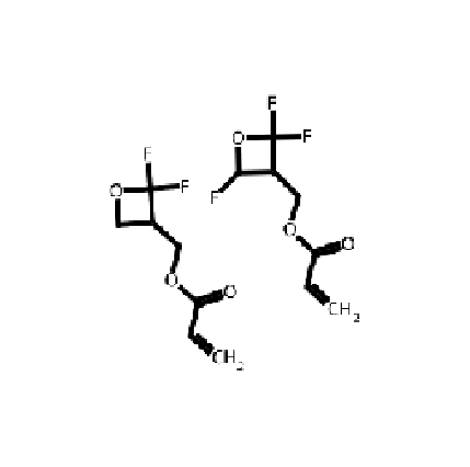 C=CC(=O)OCC1C(F)OC1(F)F.C=CC(=O)OCC1COC1(F)F